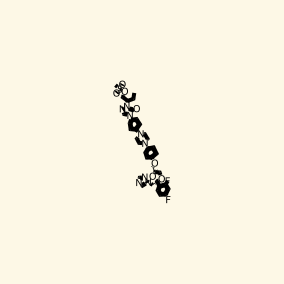 CCC(COS(C)(=O)=O)n1ncn(-c2ccc(N3CCN(c4ccc(OC[C@@H]5CO[C@@](Cn6cncn6)(c6ccc(F)cc6F)O5)cc4)CC3)cc2)c1=O